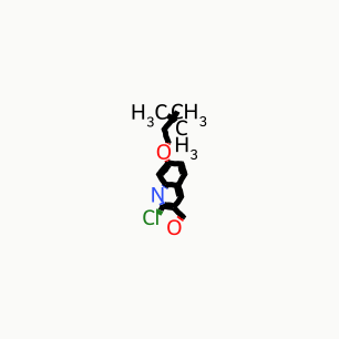 CC(C)(C)CCOc1ccc2cc(C=O)c(Cl)nc2c1